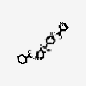 O=C(Nc1ccc(-c2nc3cc(NC(=O)C4CCCCC4)ncc3[nH]2)cc1)c1cccnc1